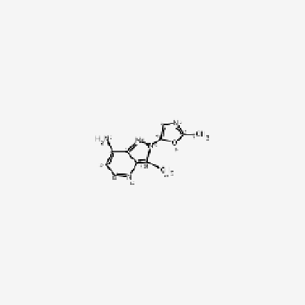 Cc1ncc(-n2nc3c(N)ccnc3c2C)o1